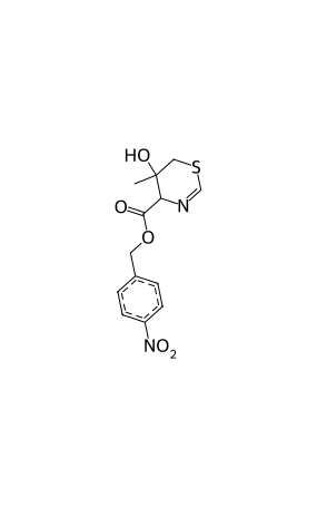 CC1(O)CSC=NC1C(=O)OCc1ccc([N+](=O)[O-])cc1